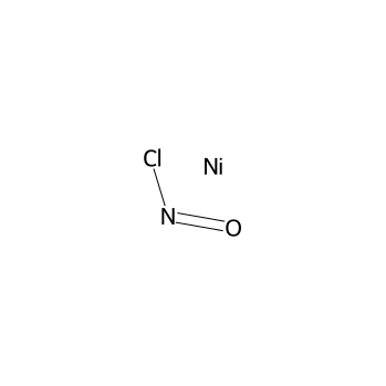 O=NCl.[Ni]